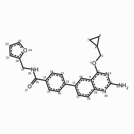 Nc1nc(OCC2CC2)c2cc(-c3ccc(C(=O)NCc4ccco4)cc3)ccc2n1